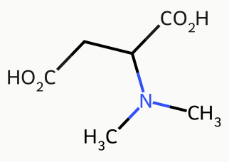 CN(C)C(CC(=O)O)C(=O)O